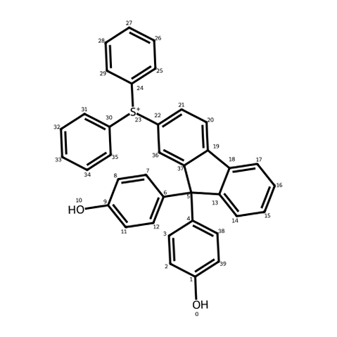 Oc1ccc(C2(c3ccc(O)cc3)c3ccccc3-c3ccc([S+](c4ccccc4)c4ccccc4)cc32)cc1